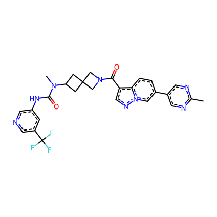 Cc1ncc(-c2ccc3c(C(=O)N4CC5(CC(N(C)C(=O)Nc6cncc(C(F)(F)F)c6)C5)C4)cnn3c2)cn1